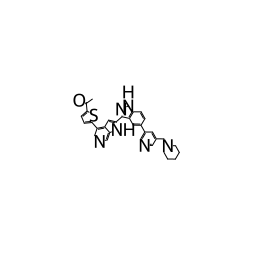 CC(=O)c1ccc(-c2cncc3[nH]c(-c4n[nH]c5ccc(-c6cncc(CN7CCCCC7)c6)cc45)cc23)s1